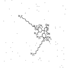 CCCCCCCCCON1C(C)CC(C(CC(=O)O)(C(=O)O)C2CC(C)N(OCCCCCCCCC)C(C)(C)C2)CC1(C)C